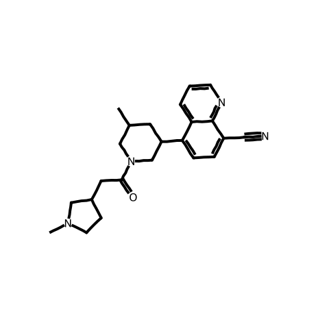 CC1CC(c2ccc(C#N)c3ncccc23)CN(C(=O)CC2CCN(C)C2)C1